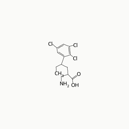 CCC(CC(CN)C(=O)O)c1cc(Cl)cc(Cl)c1Cl